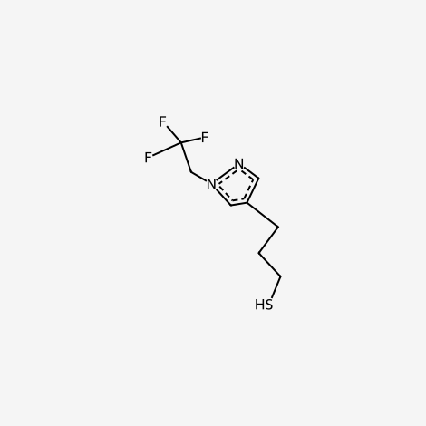 FC(F)(F)Cn1cc(CCCS)cn1